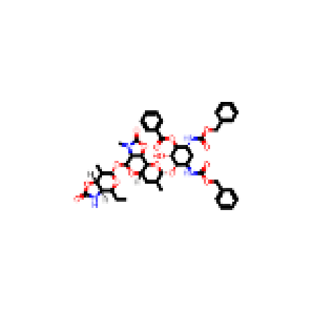 CCC1O[C@H](OC2O[C@H]3CC(C)[C@@H](O[C@@H]4C(NC(=O)OCc5ccccc5)C[C@@H](NC(=O)OCc5ccccc5)C(OC(=O)c5ccccc5)[C@H]4O)OC3C3OC(=O)N(C)C23)C(C)[C@H]2OC(=O)N[C@H]12